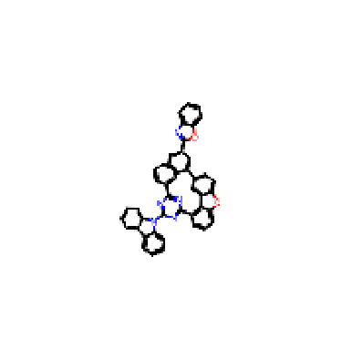 c1ccc(-c2nc(-c3cccc4oc5ccc(-c6cccc(-c7nc8ccccc8o7)c6)cc5c34)nc(-n3c4ccccc4c4ccccc43)n2)cc1